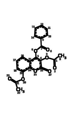 CC(=O)Oc1c(OC(=O)c2ccccc2)c2cccc(OC(C)=O)c2oc1=O